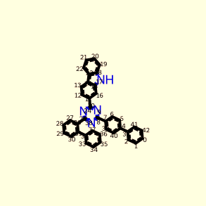 c1ccc(-c2ccc(-c3nc(-c4ccc5c(c4)[nH]c4ccccc45)nc(-c4ccccc4-c4ccccc4)n3)cc2)cc1